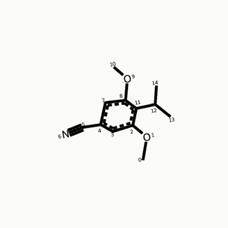 COc1cc(C#N)cc(OC)c1C(C)C